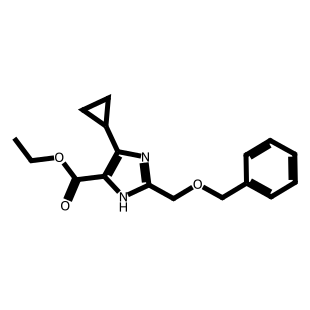 CCOC(=O)c1[nH]c(COCc2ccccc2)nc1C1CC1